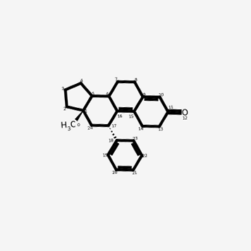 C[C@@]12CCCC1C1CCC3=CC(=O)CCC3=C1[C@H](c1ccccc1)C2